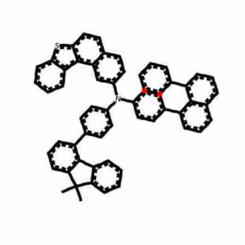 CC1(C)c2ccccc2-c2c(-c3ccc(N(c4ccc(-c5cccc6cccc(-c7ccccc7)c56)cc4)c4ccc5ccc6sc7ccccc7c6c5c4)cc3)cccc21